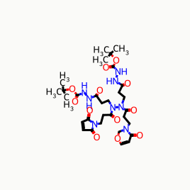 CC(C)(C)OC(=O)NNC(=O)CCN(C(=O)CCN1COC=CC1=O)N(CCC(=O)NNC(=O)OC(C)(C)C)C(=O)CCN1C(=O)C=CC1=O